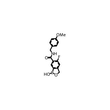 COc1ccc(CNC(=O)c2cc3c(cc2F)COB3O)cc1